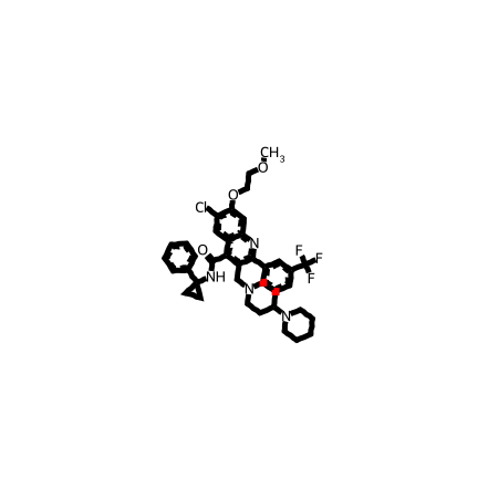 COCCOc1cc2nc(-c3cccc(C(F)(F)F)c3)c(CN3CCC(N4CCCCC4)CC3)c(C(=O)NC3(c4ccccc4)CC3)c2cc1Cl